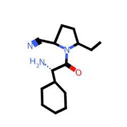 CCC1CCC(C#N)N1C(=O)[C@@H](N)C1CCCCC1